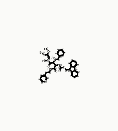 CCOC(CN(C(=O)C(C(NC(=O)OCC1c2ccccc2-c2ccccc21)C(=O)NCCc1cccnc1)N(Cc1ccccc1)C(=O)O)C(C)C)OCC